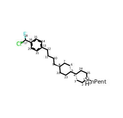 CCCCC[Si@H]1CC[C@H]([C@H]2CC[C@H](CCCCc3ccc(C(F)Cl)cc3)CC2)CC1